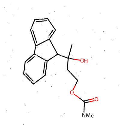 CNC(=O)OCCC(C)(O)C1c2ccccc2-c2ccccc21